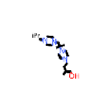 CC(C)CN1CCN(CC(C)(C)N2CCN(CCC(C)CO)CC2)CC1